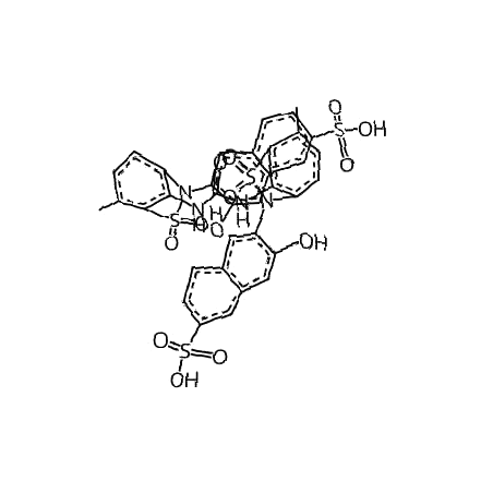 Cc1ccc2c(NC(=O)Nc3c4ccc(C)c3S(=O)(=O)N4c3cc4ccc(S(=O)(=O)O)cc4cc3O)c1S(=O)(=O)N2c1cc2ccc(S(=O)(=O)O)cc2cc1O